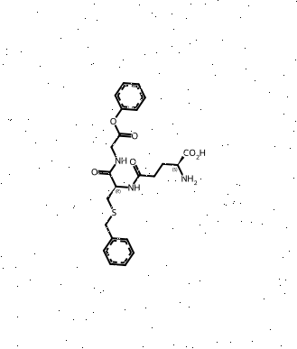 N[C@@H](CCC(=O)N[C@@H](CSCc1ccccc1)C(=O)NCC(=O)Oc1ccccc1)C(=O)O